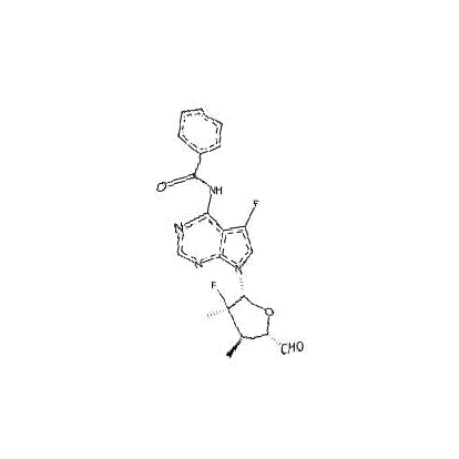 C[C@@H]1[C@@H](C=O)O[C@@H](n2cc(F)c3c(NC(=O)c4ccccc4)ncnc32)[C@]1(C)F